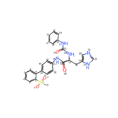 CS(=O)(=O)c1ccccc1-c1ccc(NC(=O)C(Cc2cnc[nH]2)NC(=O)Nc2ccccc2)cc1